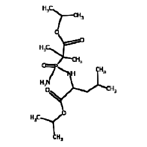 CC(C)CC(NP(N)(=O)C(C)(C)C(=O)OC(C)C)C(=O)OC(C)C